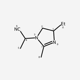 CCC1CN(C(C)C#N)C(C)=N1